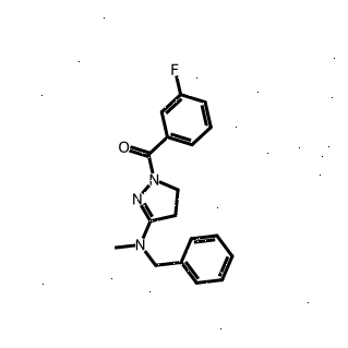 CN(Cc1ccccc1)C1=NN(C(=O)c2cccc(F)c2)CC1